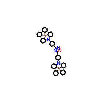 c1ccc(S2(c3ccccc3)c3ccccc3N(c3ccc(-c4noc(-c5ccc(N6c7ccccc7S(c7ccccc7)(c7ccccc7)c7ccccc76)cc5)n4)cc3)c3ccccc32)cc1